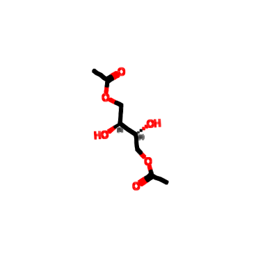 CC(=O)OC[C@@H](O)[C@@H](O)COC(C)=O